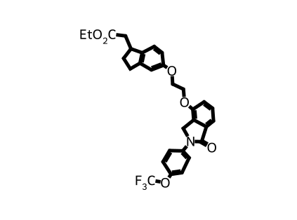 CCOC(=O)CC1CCc2cc(OCCOc3cccc4c3CN(c3ccc(OC(F)(F)F)cc3)C4=O)ccc21